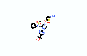 CC(C)(O)c1cnc(N2CCN(S(=O)(=O)c3ccc(N)s3)C[C@@H]2CN(c2ccccc2)S(C)(=O)=O)nc1